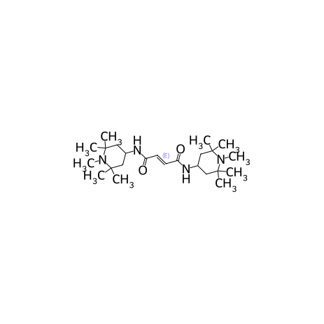 CN1C(C)(C)CC(NC(=O)/C=C/C(=O)NC2CC(C)(C)N(C)C(C)(C)C2)CC1(C)C